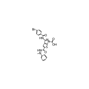 CN(NC(=O)c1cc2c(NC(=O)c3ccc(Br)cc3)nn(C(=O)O)c2s1)c1ccccc1